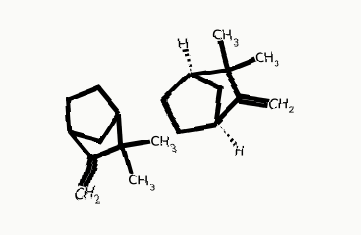 C=C1C2CCC(C2)C1(C)C.C=C1[C@H]2CC[C@H](C2)C1(C)C